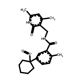 Cc1cc(C)c(CNC(=O)c2cc(C3([S+]=O)CCCCC3)ccc2C)c(=O)[nH]1